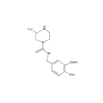 COc1ccc(CNC(=O)N2CCNC(C)C2)cc1OC